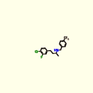 CC(CCc1ccc(Cl)c(F)c1)NCc1ccc(C(F)(F)F)cc1